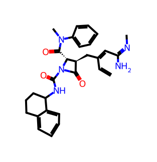 C=C/C(=C\C(N)=N/C)C[C@H]1C(=O)N(C(=O)NC2CCCc3ccccc32)[C@@H]1C(=O)N(C)c1ccccc1